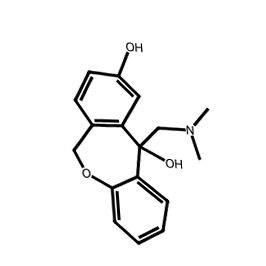 CN(C)CC1(O)c2cc(O)ccc2COc2ccccc21